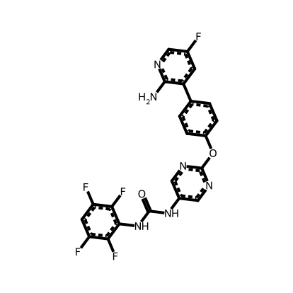 Nc1ncc(F)cc1-c1ccc(Oc2ncc(NC(=O)Nc3c(F)c(F)cc(F)c3F)cn2)cc1